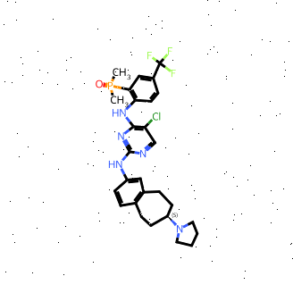 CP(C)(=O)c1cc(C(F)(F)F)ccc1Nc1nc(Nc2ccc3c(c2)CC[C@@H](N2CCCC2)CC3)ncc1Cl